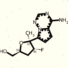 C[C@@]1(c2ccc3c(N)ncnn23)O[C@H](CO)C[C@H]1F